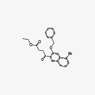 CCOC(=O)CCC(=O)c1nc2cccc(Br)c2cc1OCc1ccccc1